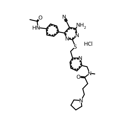 CC(=O)Nc1ccc(-c2nc(SCc3cccc(CN(C)C(=O)CCCN4CCCC4)n3)nc(N)c2C#N)cc1.Cl